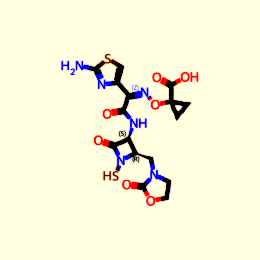 Nc1nc(/C(=N/OC2(C(=O)O)CC2)C(=O)N[C@@H]2C(=O)N(S)[C@@H]2CN2CCOC2=O)cs1